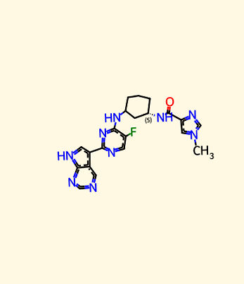 Cn1cnc(C(=O)N[C@H]2CCCC(Nc3nc(-c4c[nH]c5ncncc45)ncc3F)C2)c1